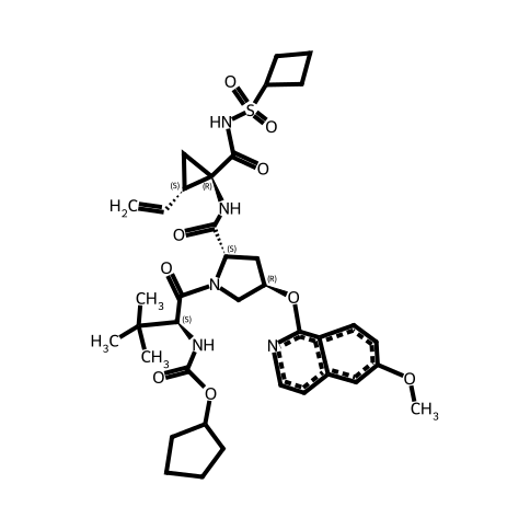 C=C[C@@H]1C[C@]1(NC(=O)[C@@H]1C[C@@H](Oc2nccc3cc(OC)ccc23)CN1C(=O)[C@@H](NC(=O)OC1CCCC1)C(C)(C)C)C(=O)NS(=O)(=O)C1CCC1